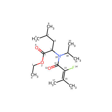 CCOC(=O)C(CC(C)C)N(C(=O)C(F)=C(C)C)C(C)C